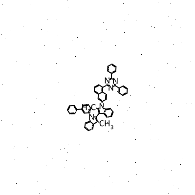 Cc1c(-c2c(C)n(-c3ccc4c(-c5nc(-c6ccccc6)nc(-c6ccccc6)n5)cccc4c3)c3ccccc23)n(-c2cccc(-c3ccccc3)c2)c2ccccc12